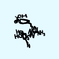 C[C@H](O)C(=O)N1CCC(CCn2cnc(N)c3nc(Sc4cc(O)c(O)cc4C#N)nc2-3)CC1